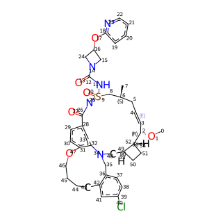 CO[C@H]1/C=C/C[C@H](C)CS(=O)(NC(=O)N2CC(Oc3ccccn3)C2)=NC(=O)c2ccc3c(c2)N(Cc2ccc(Cl)cc2CCCCO3)C[C@@H]2CC[C@H]21